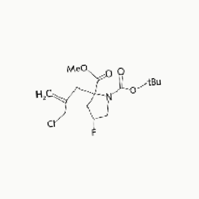 C=C(CCl)CC1(C(=O)OC)CC(F)CN1C(=O)OC(C)(C)C